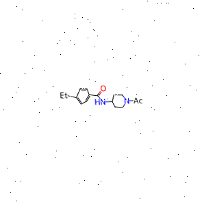 CCc1ccc(C(=O)NC2CCN(C(C)=O)CC2)cc1